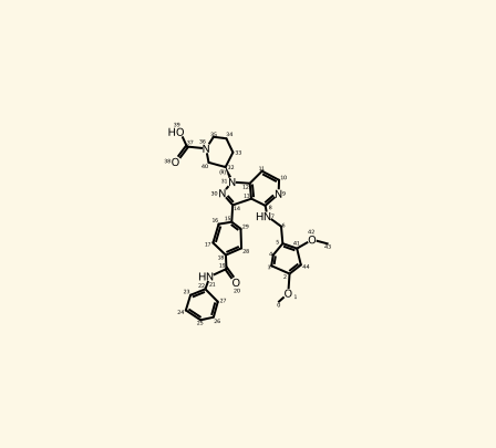 COc1ccc(CNc2nccc3c2c(-c2ccc(C(=O)Nc4ccccc4)cc2)nn3[C@@H]2CCCN(C(=O)O)C2)c(OC)c1